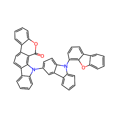 O=c1oc2ccccc2c2ccc3c4ccccc4n(-c4ccc5c(c4)c4ccccc4n5-c4cccc5c4oc4ccccc45)c3c12